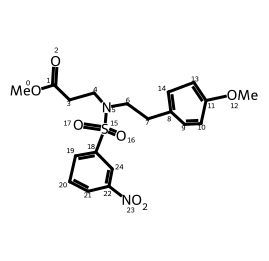 COC(=O)CCN(CCc1ccc(OC)cc1)S(=O)(=O)c1cccc([N+](=O)[O-])c1